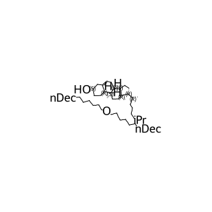 CC(C)CCC[C@@H](C)[C@H]1CC[C@H]2[C@@H]3CC=C4C[C@@H](O)CC[C@]4(C)[C@H]3CC[C@]12C.CCCCCCCCCCCCCCCCOCCCCCCCCCCCCCCCC